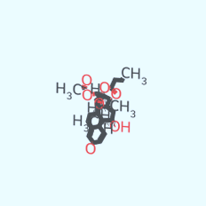 CCCC1O[C@@H]2C[C@H]3[C@@H]4CCC5=CC(=O)C=CC5(C)[C@H]4[C@@H](O)C[C@]3(C)[C@]2(C(=O)COC(C)=O)O1